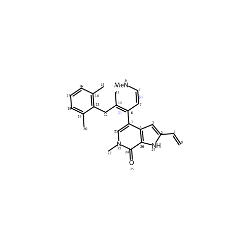 C=Cc1cc2c(C(/C=C\NC)=C(/C)Cc3c(C)cccc3C)cn(C)c(=O)c2[nH]1